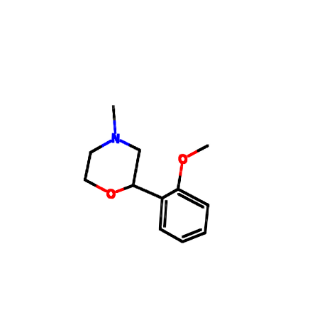 COc1ccccc1C1CN(C)CCO1